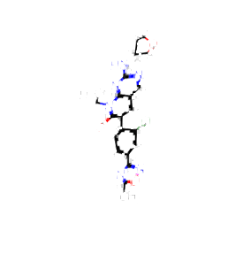 CCn1c(=O)c(-c2ccc(-c3noc(C)n3)cc2Cl)cc2cnc(N[C@@H]3CCOC3)nc21